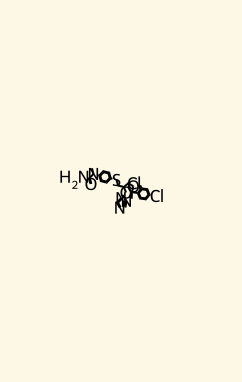 CN(C(N)=O)c1ccc(SCC2COC(Cn3cncn3)(c3ccc(Cl)cc3Cl)O2)cc1